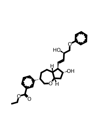 CCOC(=O)c1cccc([C@@H]2CC[C@@H]3[C@@H](/C=C/[C@@H](O)COc4ccccc4)[C@H](O)C[C@@H]3OC2)c1